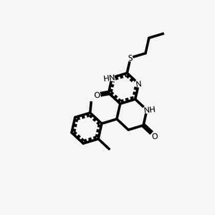 CCCSc1nc2c(c(=O)[nH]1)C(c1c(C)cccc1C)CC(=O)N2